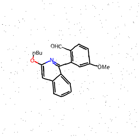 CCCCOc1cc2ccccc2c(-c2cc(OC)ccc2C=O)n1